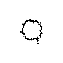 O=C1CCCCCC/C=C/CCCCCCCO1